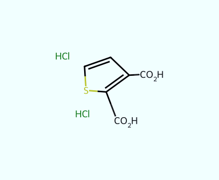 Cl.Cl.O=C(O)c1ccsc1C(=O)O